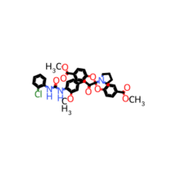 COC(=O)c1ccc(OC(Oc2ccc(C(=O)OC)cc2)(C(=O)Cc2ccc(NC(=O)Nc3ccccc3Cl)c(OC)c2)N2CCCC2)cc1